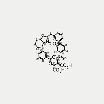 O=C(O)N1C(Cc2ccccc2)CC2CCCCC21.O=C(O[C@@H](C(=O)O)[C@@H](OC(=O)c1ccccc1)C(=O)O)c1ccccc1